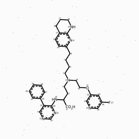 O=C(O)C(CCN(CCCCc1ccc2c(n1)NCCC2)CCOc1cncc(F)c1)Nc1ncncc1-c1ccccc1